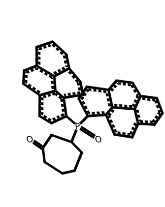 O=C1CCCCC(P(=O)(c2ccc3ccc4cccc5ccc2c3c45)c2ccc3ccc4cccc5ccc2c3c45)C1